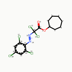 O=C(OC1CCCCCC1)C(Cl)(Cl)/N=N/c1c(Cl)cc(Cl)cc1Cl